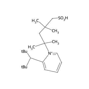 CC(C)(CC(C)(C)[n+]1ccccc1C(C(C)(C)C)C(C)(C)C)CS(=O)(=O)O